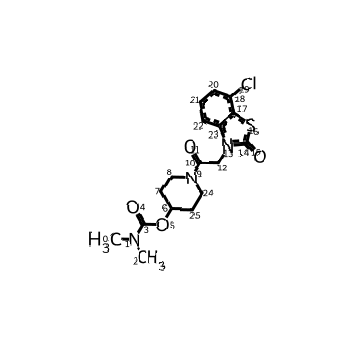 CN(C)C(=O)OC1CCN(C(=O)Cn2c(=O)sc3c(Cl)cccc32)CC1